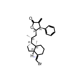 C=C1C(=O)O[C@H](C[C@@H](C)[C@H]2CC[C@H]3/C(=C/Br)CCC[C@]23C)[C@@H]1c1ccccc1